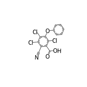 N#Cc1c(Cl)c(Cl)c(Oc2ccccc2)c(Cl)c1C(=O)O